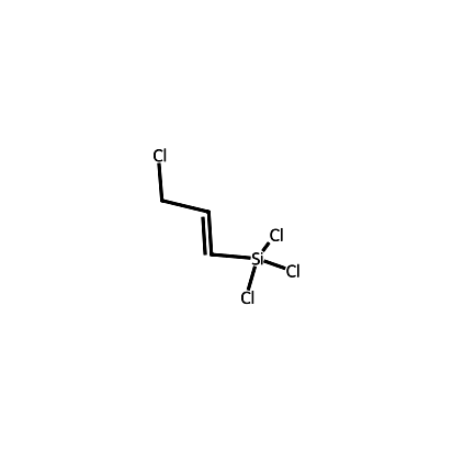 ClCC=C[Si](Cl)(Cl)Cl